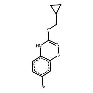 Brc1ccc2c(c1)SN=C(SCC1CC1)N2